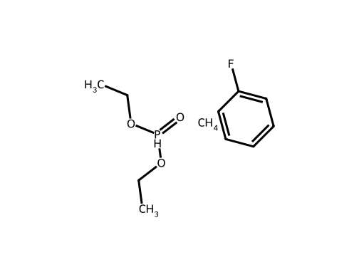 C.CCO[PH](=O)OCC.Fc1ccccc1